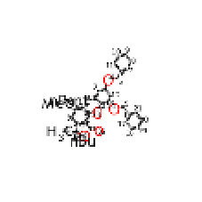 CCCCCc1cc(OCc2ccccc2)cc(OCc2ccccc2)c1Oc1cc(OC)cc2c1C(=O)OC2(C)CCCC